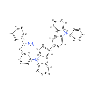 N[C@H](Cc1cccc(-n2c3ccccc3c3cc(-c4ccc5c(c4)c4ccccc4n5-c4ccccc4)ccc32)c1)c1ccccc1